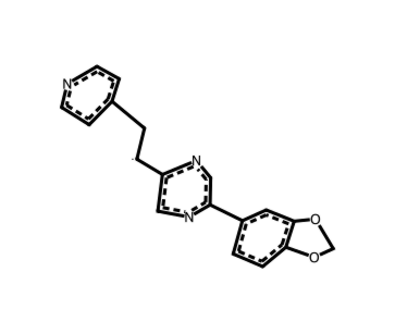 [CH](Cc1ccncc1)c1cnc(-c2ccc3c(c2)OCO3)cn1